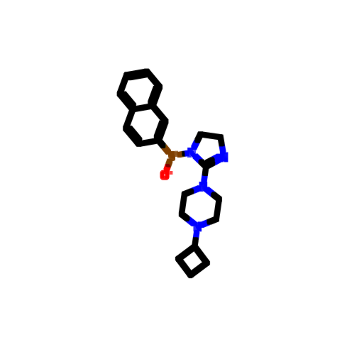 [O-][S+](c1ccc2ccccc2c1)N1CCN=C1N1CCN(C2CCC2)CC1